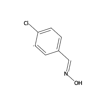 ON=Cc1c[c]c(Cl)cc1